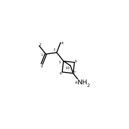 C=C(C)C(C)C12CC(N)(C1)C2